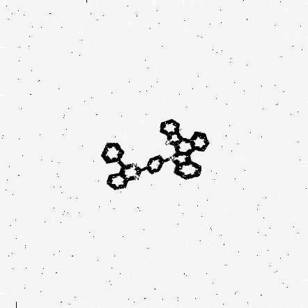 c1ccc(-c2nc(-c3ccc(-n4c5ccccc5c5c6ccccc6c6c7ccccc7oc6c54)cc3)nc3ccccc23)cc1